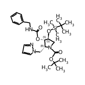 CC(C)(C)OC(=O)N1C[C@H](O[Si](C)(C)C(C)(C)C)[C@@H](OC(=O)NCc2ccccc2)[C@H]1Cn1cccn1